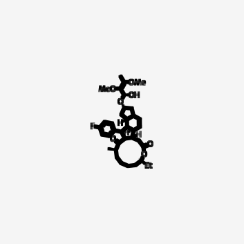 CC[C@H]1CCCC[C@@H](C)C(=O)C2C(c3ccc(F)cc3)C3[C@@H]4C[C@H](O[C@H](O)/C(OC)=C(/C)OC)CC4C=C[C@H]3[C@@H]2CC(=O)O1